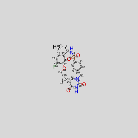 CC[C@@H](NS(=O)(=O)c1ccc(Cn2ccc(=O)[nH]c2=O)cc1)c1ccc(F)c(OCC2CC2)c1